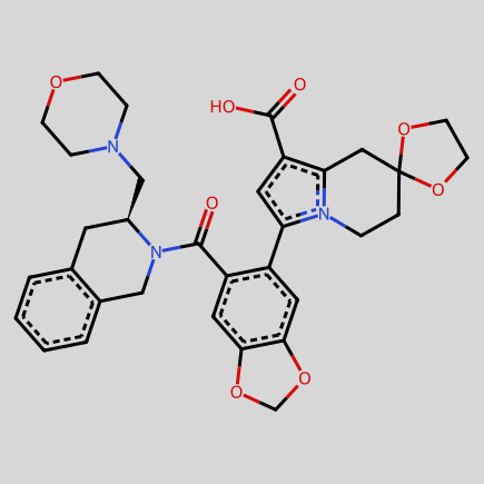 O=C(O)c1cc(-c2cc3c(cc2C(=O)N2Cc4ccccc4C[C@H]2CN2CCOCC2)OCO3)n2c1CC1(CC2)OCCO1